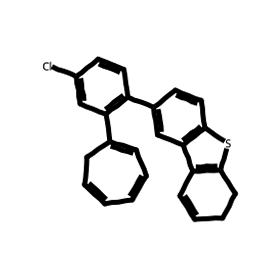 Clc1ccc(-c2ccc3sc4c(c3c2)C=CCC4)c(C2=CC=CC=CC2)c1